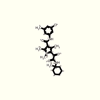 Cc1cc(Cl)cc(NC(=O)c2c(C)c(C(=O)C(=O)NC3(C)CCCCC3)n(C)c2C)c1